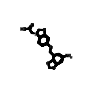 Nc1cc(COc2ccc3c(c2)OC[C@H]3CC(=O)O)c2c(c1)OCO2